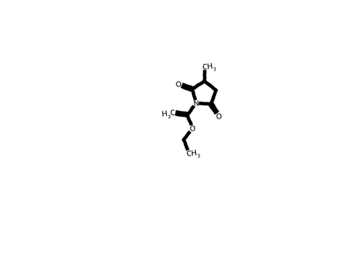 C=C(OCC)N1C(=O)CC(C)C1=O